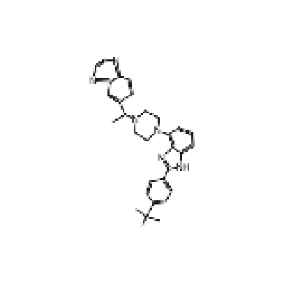 CC(c1ccc2nccnc2c1)N1CCN(c2cccc3[nH]c(-c4ccc(C(C)(C)C)cc4)nc23)CC1